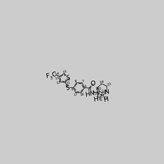 C[C@H]1[C@H](NC(=O)c2ccc(Sc3cc(C(F)(F)F)cs3)cc2)C2CCN1CC2